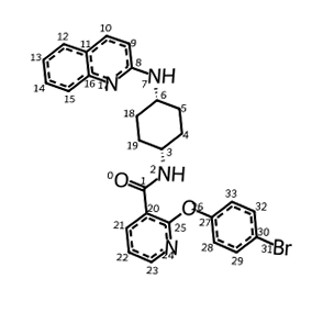 O=C(N[C@H]1CC[C@@H](Nc2ccc3ccccc3n2)CC1)c1cccnc1Oc1ccc(Br)cc1